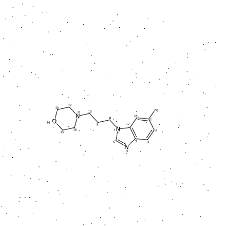 Cc1ccc2ncn(CCCN3CCOCC3)c2c1